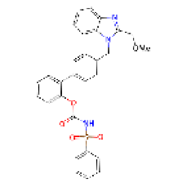 COCc1nc2ccccc2n1Cc1ccc(-c2ccccc2OC(=O)NS(=O)(=O)c2ccccc2)cc1